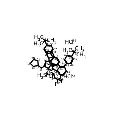 CC(C)(C)c1ccc(-c2cccc3c2C=C(CC2CCCC2)[CH]3[Zr]([CH3])(=[SiH2])([CH2]CC(F)(F)F)[CH]2C(CC3CCCC3)=Cc3c(-c4ccc(C(C)(C)C)cc4)cccc32)cc1.Cl.Cl